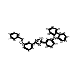 c1ccc(COc2cccc(-c3nnc(-c4cccc(-n5c6ccccc6c6ccccc65)c4)o3)c2)cc1